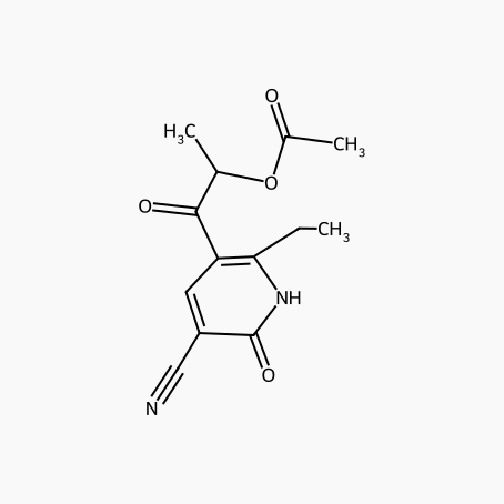 CCc1[nH]c(=O)c(C#N)cc1C(=O)C(C)OC(C)=O